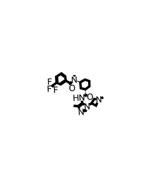 Cc1ncn(C2CN(C)C2)c1NC(=O)[C@H]1CCC[C@@H](N(C)C(=O)c2cccc(C(F)(F)F)c2)C1